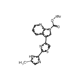 Cc1cnc(-c2nc(-c3cn(C(=O)OC(C)(C)C)c4ncccc34)cs2)[nH]1